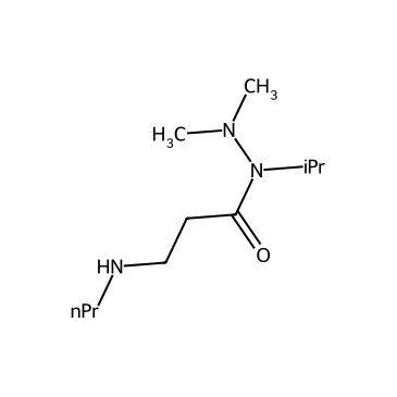 CCCNCCC(=O)N(C(C)C)N(C)C